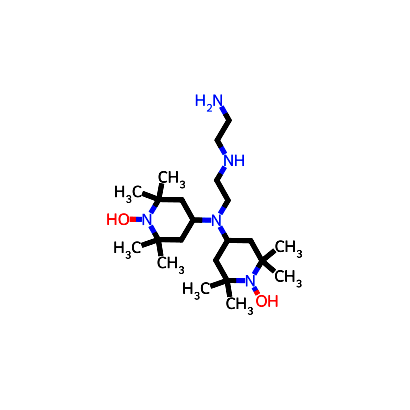 CC1(C)CC(N(CCNCCN)C2CC(C)(C)N(O)C(C)(C)C2)CC(C)(C)N1O